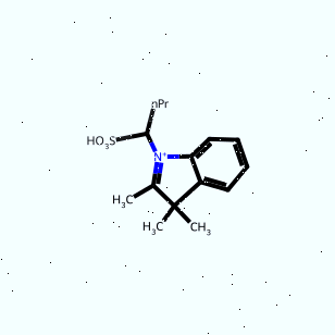 CCCC([N+]1=C(C)C(C)(C)c2ccccc21)S(=O)(=O)O